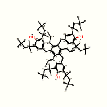 CCCc1c(Cc2cc(C(C)(C)CC(C)(C)C)c(O)c(C(C)(C)CC(C)(C)C)c2)c(CCC)c(Cc2cc(C(C)(C)CC(C)(C)C)c(O)c(C(C)(C)CC(C)(C)C)c2)c(CCC)c1Cc1cc(C(C)(C)CC(C)(C)C)c(O)c(C(C)(C)CC(C)(C)C)c1